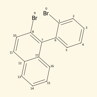 Brc1ccccc1-c1c(Br)ccc2ccccc12